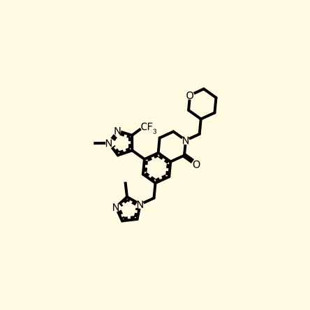 Cc1nccn1Cc1cc2c(c(-c3cn(C)nc3C(F)(F)F)c1)CCN(CC1CCCOC1)C2=O